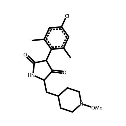 CON1CCC(CC2NC(=O)C(c3c(C)cc(Cl)cc3C)C2=O)CC1